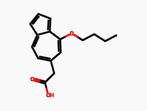 CCCCOc1cc(CC(=O)O)ccc2cccc1-2